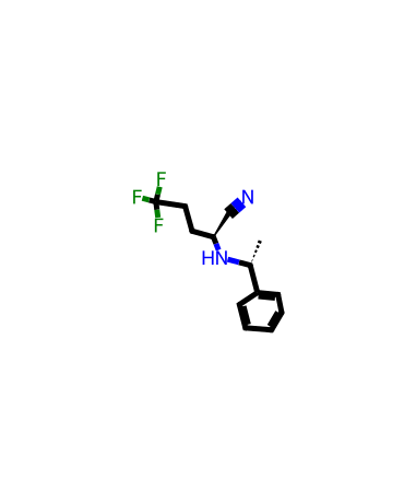 C[C@@H](N[C@H](C#N)CCC(F)(F)F)c1ccccc1